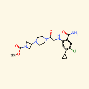 CC(C)(C)OC(=O)N1CC(N2CCN(C(=O)CNc3cc(C4CC4)c(Cl)cc3C(N)=O)CC2)C1